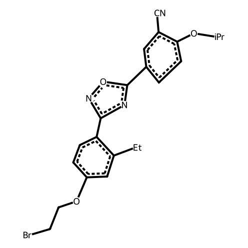 CCc1cc(OCCBr)ccc1-c1noc(-c2ccc(OC(C)C)c(C#N)c2)n1